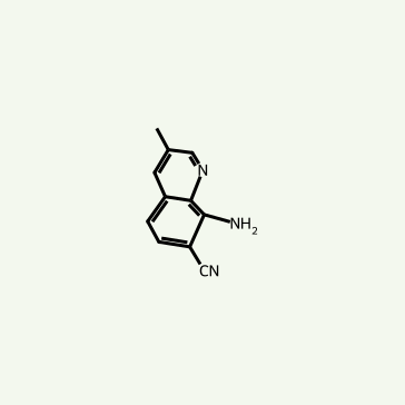 Cc1cnc2c(N)c(C#N)ccc2c1